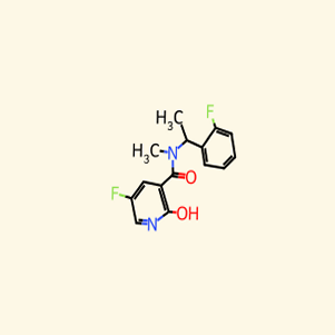 CC(c1ccccc1F)N(C)C(=O)c1cc(F)cnc1O